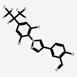 O=Cc1cc(-c2cnn(-c3c(Cl)cc(C(F)(C(F)(F)F)C(F)(F)F)cc3Cl)c2)ccc1Cl